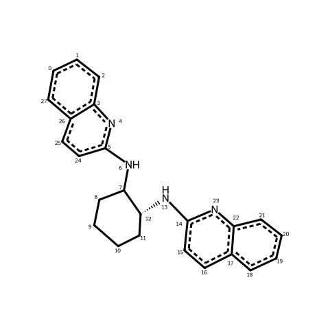 c1ccc2nc(NC3CCCC[C@H]3Nc3ccc4ccccc4n3)ccc2c1